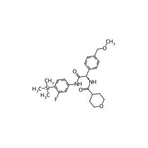 COCc1ccc([C@@H](NC(=O)C2CCOCC2)C(=O)Nc2ccc([Si](C)(C)C)c(F)c2)cc1